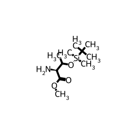 COC(=O)[C@@H](N)C(C)O[Si](C)(C)C(C)(C)C